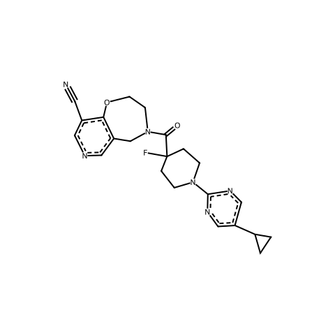 N#Cc1cncc2c1OCCN(C(=O)C1(F)CCN(c3ncc(C4CC4)cn3)CC1)C2